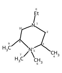 CCN1CC(C)[N+](C)(C)C(C)C1